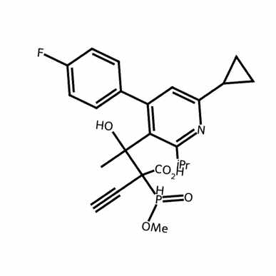 C#CC(C(=O)O)([PH](=O)OC)C(C)(O)c1c(-c2ccc(F)cc2)cc(C2CC2)nc1C(C)C